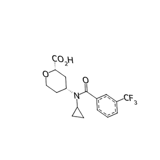 O=C(O)[C@@H]1C[C@H](N(C(=O)c2cccc(C(F)(F)F)c2)C2CC2)CCO1